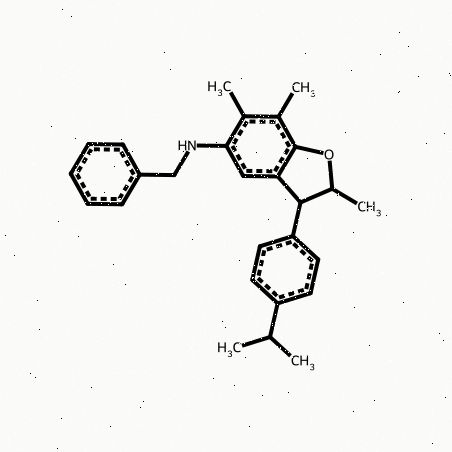 Cc1c(NCc2ccccc2)cc2c(c1C)OC(C)C2c1ccc(C(C)C)cc1